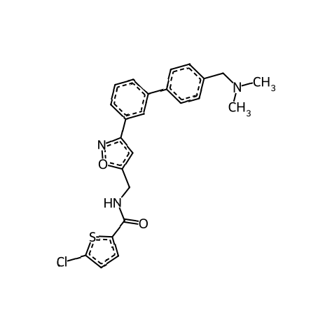 CN(C)Cc1ccc(-c2cccc(-c3cc(CNC(=O)c4ccc(Cl)s4)on3)c2)cc1